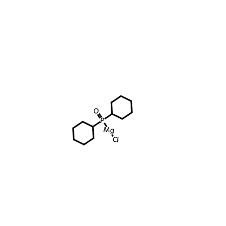 O=[P]([Mg][Cl])(C1CCCCC1)C1CCCCC1